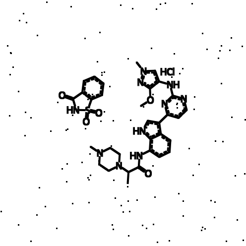 COc1nn(C)cc1Nc1nccc(-c2c[nH]c3c(NC(=O)C(C)N4CCN(C)CC4)cccc23)n1.Cl.O=C1NS(=O)(=O)c2ccccc21